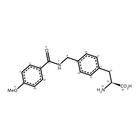 COc1ccc(C(=O)NCc2ccc(C[C@H](N)C(=O)O)cc2)cc1